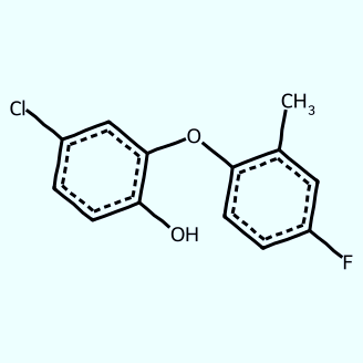 Cc1cc(F)ccc1Oc1cc(Cl)ccc1O